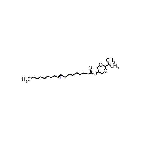 CCCCCCCC/C=C/CCCCCCCC(=O)OC1COC(C(C)C)OC1